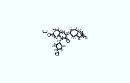 CCOc1ncc2nc(-c3ccc4nn(C)cc4c3)c(=O)n(-c3ccc(Cl)cc3)c2n1